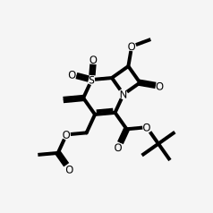 C=C1C(COC(C)=O)=C(C(=O)OC(C)(C)C)N2C(=O)C(OC)C2S1(=O)=O